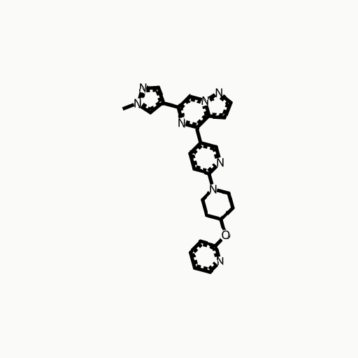 Cn1cc(-c2cn3nccc3c(-c3ccc(N4CCC(Oc5ccccn5)CC4)nc3)n2)cn1